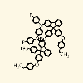 C=Cc1ccc(Oc2ccc(C3(c4ccc(C(C)(C)C)cc4)c4ccccc4-c4ccc(N(c5ccc(F)cc5)c5ccc(N(c6ccc(F)cc6)c6ccc7c(c6)C(c6ccc(Oc8ccc(C=C)cc8)cc6)(c6ccc(C(C)(C)C)cc6)c6ccccc6-7)cc5)cc43)cc2)cc1